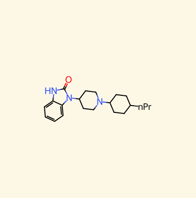 CCCC1CCC(N2CCC(n3c(=O)[nH]c4ccccc43)CC2)CC1